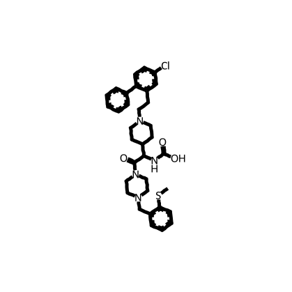 CSc1ccccc1CN1CCN(C(=O)C(NC(=O)O)C2CCN(CCc3cc(Cl)ccc3-c3ccccc3)CC2)CC1